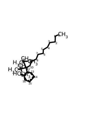 CCCCCCCCCCCC(c1ccccc1O)(C(C)(C)C)C(C)(C)C